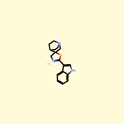 B.c1ccc2c(C3=NCC4(CN5CCC4CC5)O3)c[nH]c2c1